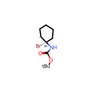 CC(C)(C)OC(=O)N[C@@]1(Br)[CH]CCCC1